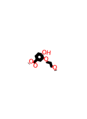 COCCCOc1cc(C(=O)OC)ccc1O